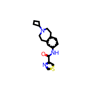 O=C(Nc1ccc2c(c1)CCN(C1CCC1)CC2)c1cscn1